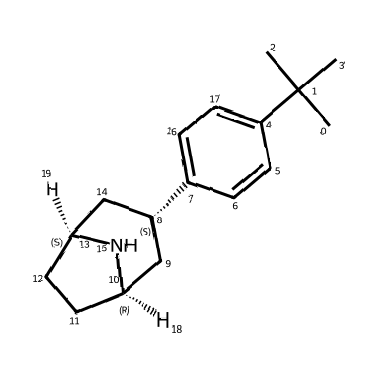 CC(C)(C)c1ccc([C@@H]2C[C@H]3CC[C@@H](C2)N3)cc1